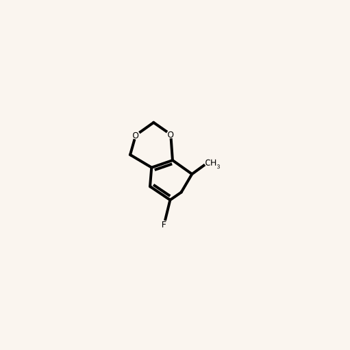 CC1CC(F)=CC2=C1OCOC2